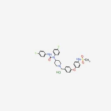 CS(=O)(=O)Nc1ccc(Oc2ccc(CN3CCC(N(C(=O)Nc4ccc(F)cc4)c4ccc(F)cc4)CC3)cc2)cc1.Cl